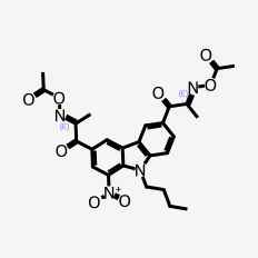 CCCCn1c2ccc(C(=O)/C(C)=N/OC(C)=O)cc2c2cc(C(=O)/C(C)=N/OC(C)=O)cc([N+](=O)[O-])c21